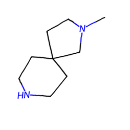 CN1CCC2(CCNCC2)C1